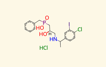 CC(NC[C@@H](O)CP(=O)(O)Cc1ccccc1)c1ccc(Cl)c(I)c1.Cl